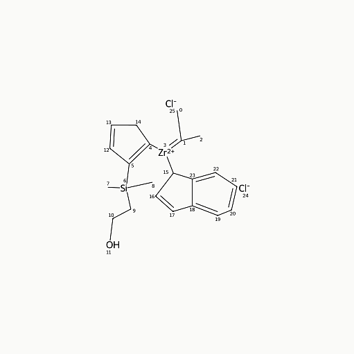 C[C](C)=[Zr+2]([C]1=C([Si](C)(C)CCO)C=CC1)[CH]1C=Cc2ccccc21.[Cl-].[Cl-]